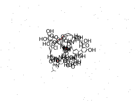 CC(C)C[C@H](C(=O)N[C@H]1C(=O)N[C@@H](CC(N)=O)C(=O)N[C@H]2C(=O)N[C@H]3C(=O)N[C@H](C(=O)N[C@H](C(=O)O)c4cc(O)cc(O)c4-c4cc3ccc4O)[C@H](O)c3ccc(c(Cl)c3)Oc3cc2cc(c3O[C@@H]2O[C@H](CO)[C@@H](O)[C@H](O)[C@H]2O[C@H]2C[C@](C)(N)[C@H](O)[C@H](C)O2)Oc2ccc(cc2Cl)[C@H]1O)N(C)C(=O)CCC(=O)NC(P(=O)(O)O)P(=O)(O)O